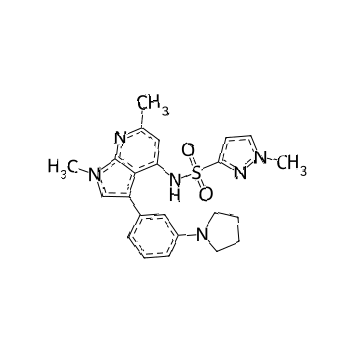 Cc1cc(NS(=O)(=O)c2ccn(C)n2)c2c(-c3cccc(N4CCCC4)c3)cn(C)c2n1